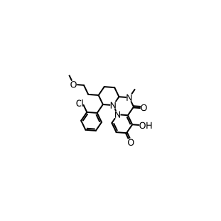 COCCC1CCC2N(C)C(=O)c3c(O)c(=O)ccn3N2C1c1ccccc1Cl